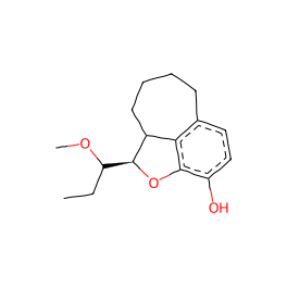 CCC(OC)[C@@H]1Oc2c(O)ccc3c2C1CCCC3